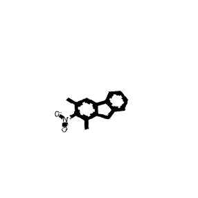 Cc1cc2c(c(C)c1[N+](=O)[O-])Cc1ccccc1-2